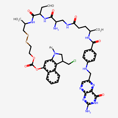 CC(=O)N1CC(CCl)c2c1cc(OC(=O)OCCSSCC(NC(=O)C(CC=O)NC(=O)C(N)CNC(=O)CCC(NC(=O)c1ccc(NCc3cnc4nc(N)[nH]c(=O)c4n3)cc1)C(=O)O)C(=O)O)c1ccccc21